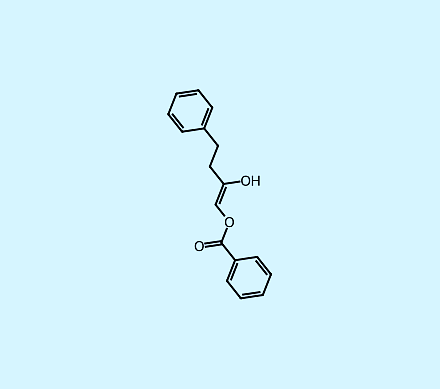 O=C(OC=C(O)CCc1ccccc1)c1ccccc1